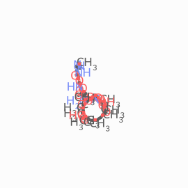 CO[C@H]1C[C@@H]2CC[C@@H](C)[C@@](O)(O2)C(=O)C(=O)N2CCCC[C@H]2C(=O)O[C@H]([C@H](N)C[C@@H]2CC[C@@H](OC(=O)NCCOCCC(=O)NCc3cnc(C)nc3)[C@H](OC)C2)CC(=O)[C@H](C)/C=C(\C)[C@@H](O)[C@@H](OC)C(=O)[C@H](C)C[C@H](C)/C=C/C=C/C=C/1C